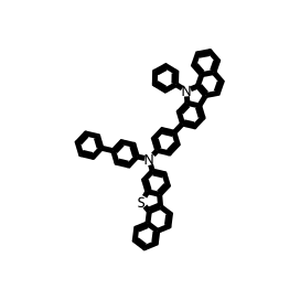 c1ccc(-c2ccc(N(c3ccc(-c4ccc5c6ccc7ccccc7c6n(-c6ccccc6)c5c4)cc3)c3ccc4c(c3)sc3c5ccccc5ccc43)cc2)cc1